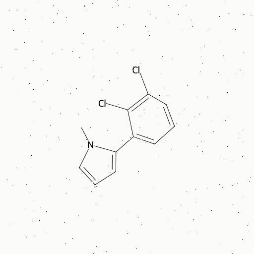 Cn1c[c]cc1-c1cccc(Cl)c1Cl